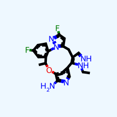 CCN/C1=C(\C=N)Cc2cc(F)nn2-c2ccc(F)cc2C(C)Oc2cc1cnc2N